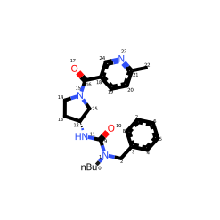 CCCCN(Cc1ccccc1)C(=O)N[C@@H]1CCN(C(=O)c2ccc(C)nc2)C1